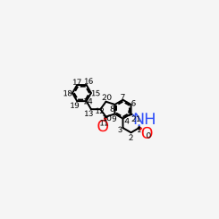 O=C1CCc2c(ccc3c2C(=O)C(Cc2ccccc2)C3)N1